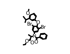 CCOC(=O)C(C)N(C(=O)c1ccccc1)c1cc(Br)c(Oc2ccc(OC)c(C(C)C)c2)c(Br)c1